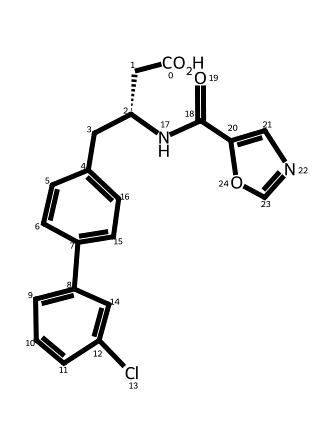 O=C(O)C[C@@H](Cc1ccc(-c2cccc(Cl)c2)cc1)NC(=O)c1cnco1